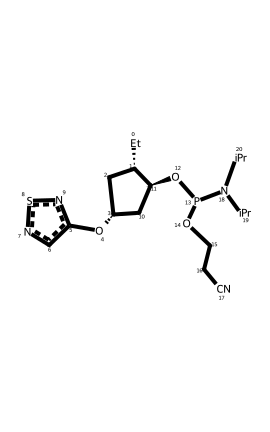 CC[C@H]1C[C@@H](Oc2cnsn2)C[C@@H]1OP(OCCC#N)N(C(C)C)C(C)C